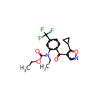 CCOC(=O)N(CC)c1cc(C(F)(F)F)ccc1C(=O)c1cnoc1C1CC1